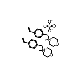 C=Cc1ccc(C[N+]2(C)CCOCC2)cc1.C=Cc1ccc(C[N+]2(C)CCOCC2)cc1.O=S(=O)([O-])[O-]